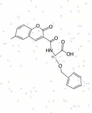 Cc1ccc2oc(=O)c(C(=O)N[C@@H](COCc3ccccc3)C(=O)O)cc2c1